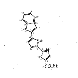 CCOC(=O)c1cnc(-c2ccc(-c3cc4ccccc4s3)s2)s1